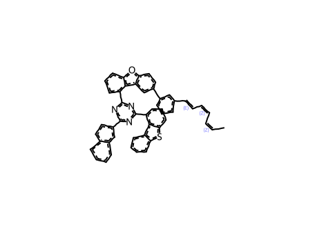 C\C=C/C=C\C=C\c1cccc(-c2ccc3oc4cccc(-c5nc(-c6ccc7ccccc7c6)nc(-c6cccc7sc8ccccc8c67)n5)c4c3c2)c1